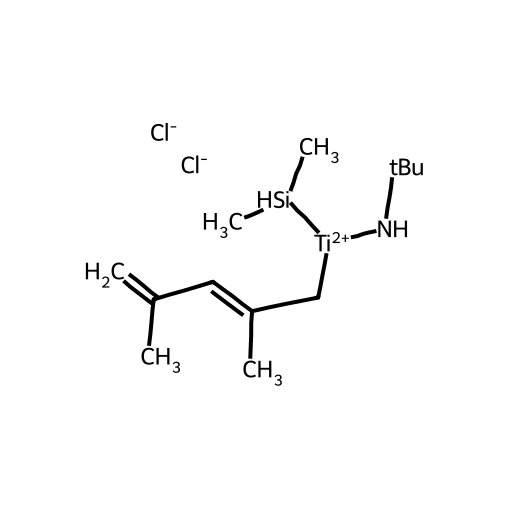 C=C(C)C=C(C)[CH2][Ti+2]([NH]C(C)(C)C)[SiH](C)C.[Cl-].[Cl-]